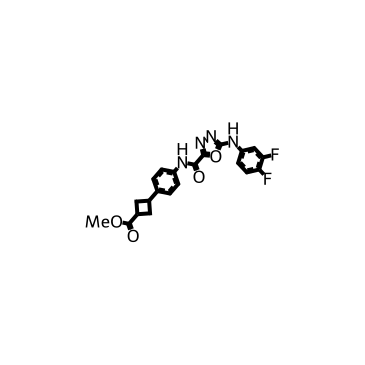 COC(=O)C1CC(c2ccc(NC(=O)c3nnc(Nc4ccc(F)c(F)c4)o3)cc2)C1